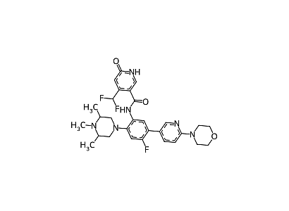 CC1CN(c2cc(F)c(-c3ccc(N4CCOCC4)nc3)cc2NC(=O)c2c[nH]c(=O)cc2C(F)F)CC(C)N1C